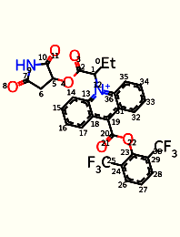 CCC(C(=O)OC1CC(=O)NC1=O)[n+]1c2ccccc2c(C(=O)Oc2c(C(F)(F)F)cccc2C(F)(F)F)c2ccccc21